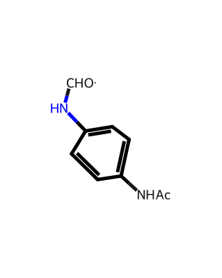 CC(=O)Nc1ccc(N[C]=O)cc1